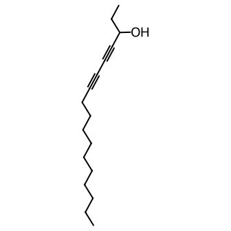 CCCCCCCCCCC#CC#CC(O)CC